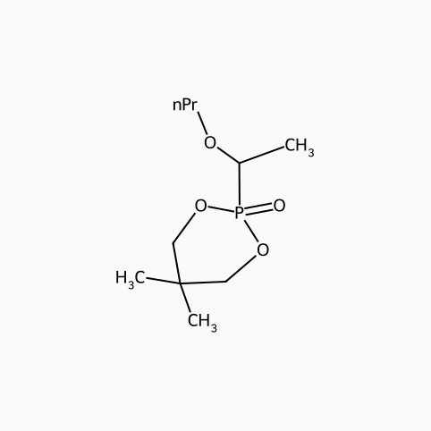 CCCOC(C)P1(=O)OCC(C)(C)CO1